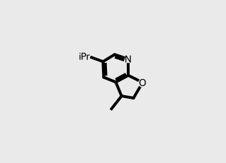 CC(C)c1cnc2c(c1)C(C)CO2